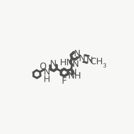 CN1CCN(c2nccc3[nH]c(-c4n[nH]c5c(F)cc(-c6cncc(NC(=O)C7CCCCC7)c6)cc45)nc23)CC1